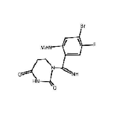 CNc1cc(Br)c(F)cc1C(=N)N1CCC(=O)NC1=O